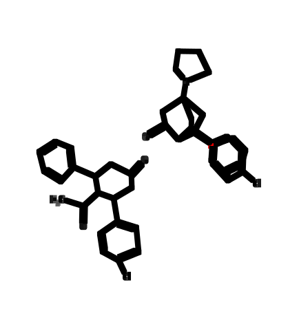 CC(=O)C1C(c2ccccc2)CC(=O)CC1c1ccc(Cl)cc1.O=C1CC2(N3CCCC3)CC(c3ccccc3)C1C(c1ccc(Cl)cc1)C2